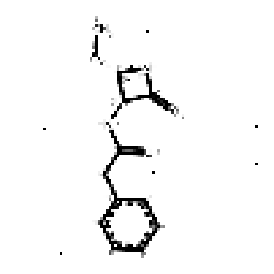 CC[C@@H]1NC(=O)[C@H]1NC(=O)Cc1ccccc1